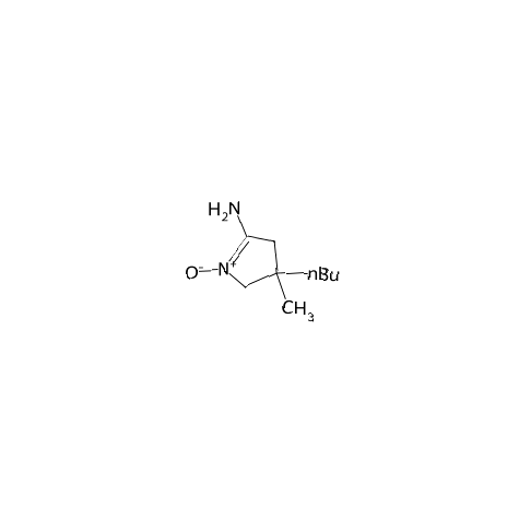 CCCCC1(C)CC(N)=[N+]([O-])C1